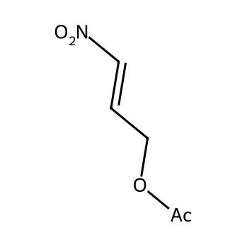 CC(=O)OCC=C[N+](=O)[O-]